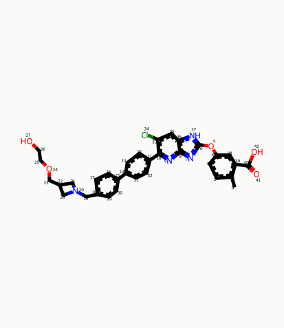 Cc1ccc(Oc2nc3nc(-c4ccc(-c5ccc(CN6CC(COCCO)C6)cc5)cc4)c(Cl)cc3[nH]2)cc1C(=O)O